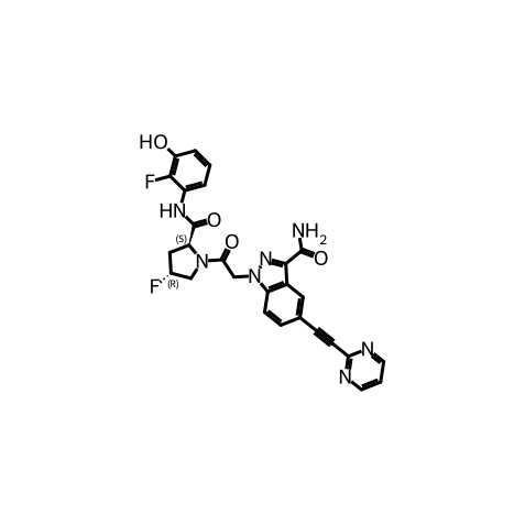 NC(=O)c1nn(CC(=O)N2C[C@H](F)C[C@H]2C(=O)Nc2cccc(O)c2F)c2ccc(C#Cc3ncccn3)cc12